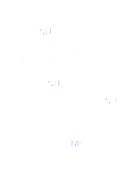 C1CCNCC1.C1CCNCC1.NC(=O)C(N)=O